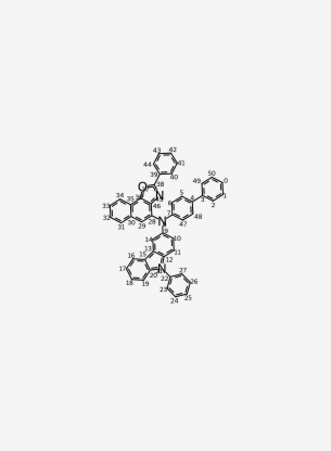 c1ccc(-c2ccc(N(c3ccc4c(c3)c3ccccc3n4-c3ccccc3)c3cc4ccccc4c4oc(-c5ccccc5)nc34)cc2)cc1